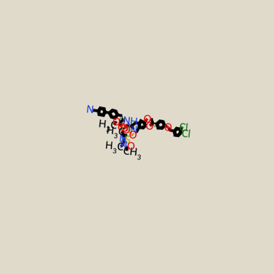 COC(=O)[C@H](Cc1ccc(-c2ccc(C#N)cc2)cc1)NC(=O)[C@@H]1Cc2cc3c(cc2CN1S(=O)(=O)c1sc(N(C)C(C)=O)nc1C)O[C@H](c1ccc(OCc2ccc(Cl)c(Cl)c2)cc1)CO3